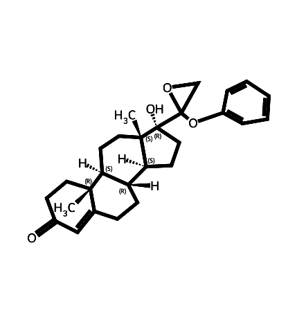 C[C@]12CCC(=O)C=C1CC[C@@H]1[C@@H]2CC[C@@]2(C)[C@H]1CC[C@]2(O)C1(Oc2ccccc2)CO1